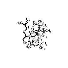 C=C(C)COC(CC)[Si](O[Si](C)(C)O[Si](C)(C)C)(O[Si](C)(C)O[Si](C)(C)C)O[Si](C)(C)O[Si](C)(C)C